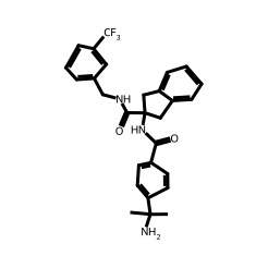 CC(C)(N)c1ccc(C(=O)NC2(C(=O)NCc3cccc(C(F)(F)F)c3)Cc3ccccc3C2)cc1